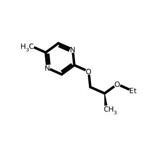 CCO[C@@H](C)COc1cnc(C)cn1